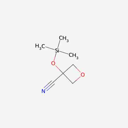 C[Si](C)(C)OC1(C#N)COC1